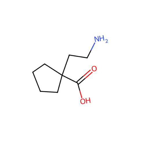 NCCC1(C(=O)O)CCCC1